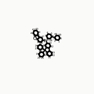 c1ccc(-c2cccc(N(c3ccc4c(c3)C(c3ccccc3)(c3ccccc3)c3ccccc3-4)c3ccc4oc5ccccc5c4c3)c2)cc1